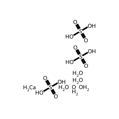 O.O.O.O.O.O=S(=O)(O)O.O=S(=O)(O)O.O=S(=O)(O)O.[CaH2]